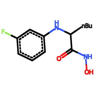 CCCCC(Nc1cccc(F)c1)C(=O)NO